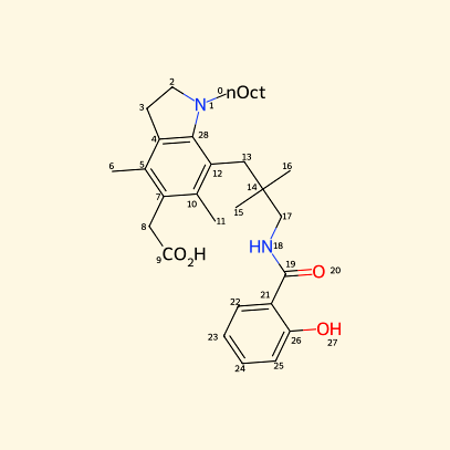 CCCCCCCCN1CCc2c(C)c(CC(=O)O)c(C)c(CC(C)(C)CNC(=O)c3ccccc3O)c21